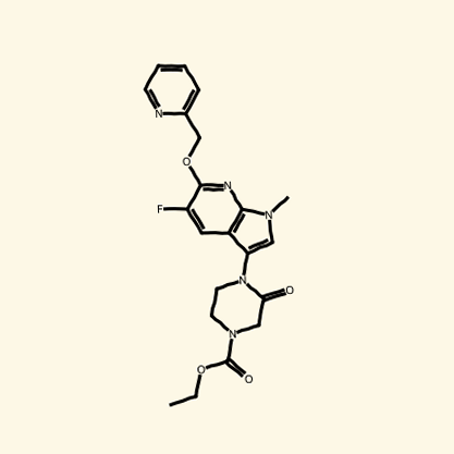 CCOC(=O)N1CCN(c2cn(C)c3nc(OCc4ccccn4)c(F)cc23)C(=O)C1